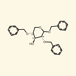 O[C@H]1[C@H](OCc2ccccc2)COC(OCc2ccccc2)[C@@H]1OCc1ccccc1